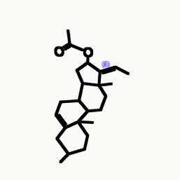 C/C=C1/C(OC(C)=O)CC2C3CC=C4CC(C)CCC4(C)C3CCC12C